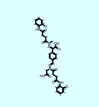 CN(N=C(C(=O)O)c1ccc(C=NN(CC(=O)O)C(=O)CCC(=O)Nc2ccccc2Cl)cc1)C(=O)CCC(=O)Nc1ccccc1Cl